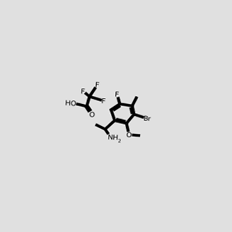 COc1c(C(C)N)cc(F)c(C)c1Br.O=C(O)C(F)(F)F